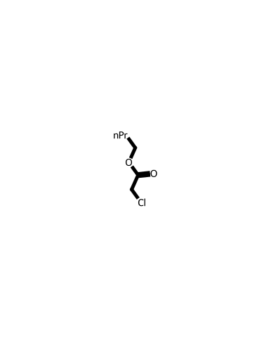 [CH2]CCCOC(=O)CCl